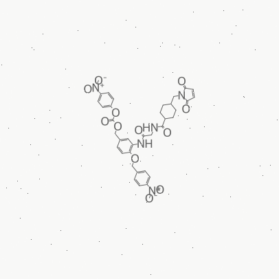 O=C(CNC(=O)C1CCC(CN2C(=O)C=CC2=O)CC1)Nc1cc(COC(=O)Oc2ccc([N+](=O)[O-])cc2)ccc1OCc1ccc([N+](=O)[O-])cc1